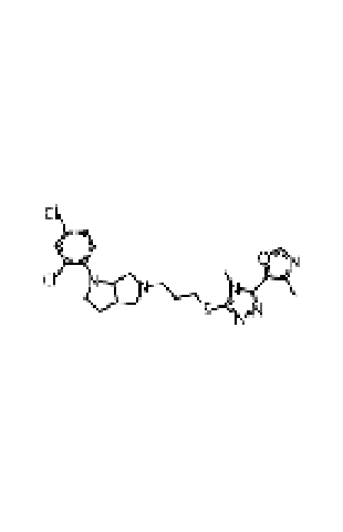 Cc1ncoc1-c1nnc(SCCCN2CC3CCN(c4ccc(Cl)cc4Cl)C3C2)n1C